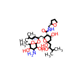 CC(C)/C=C/[C@@H](C[C@@H]1O[C@](O)(C[C@@H](O)C(C)C)C[C@H](O)[C@H]1C(=O)NC[C@H]1CCCO1)OC1OC(C)C(O)C(N)C1O